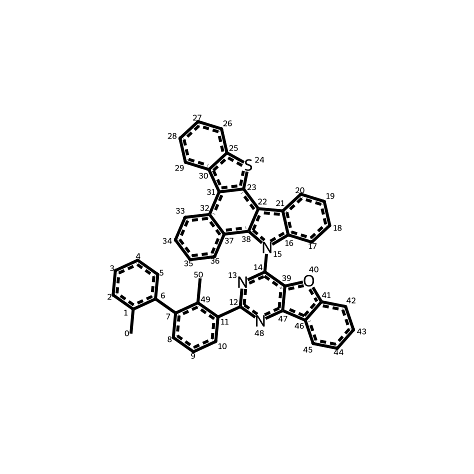 Cc1ccccc1-c1cccc(-c2nc(-n3c4ccccc4c4c5sc6ccccc6c5c5ccccc5c43)c3oc4ccccc4c3n2)c1C